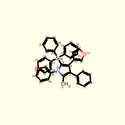 Cc1c(-c2ccccc2)c(-c2ccoc2)c([Si](c2ccccc2)(c2ccccc2)c2ccccc2)n1-c1ccccc1